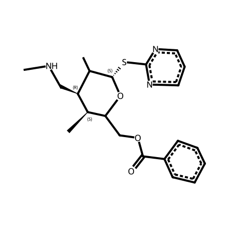 CNC[C@H]1C(C)[C@H](Sc2ncccn2)OC(COC(=O)c2ccccc2)[C@H]1C